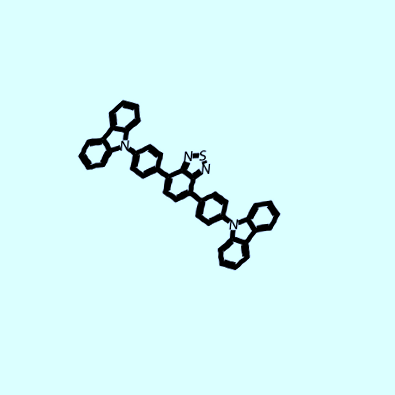 c1ccc2c(c1)c1ccccc1n2-c1ccc(-c2ccc(-c3ccc(-n4c5ccccc5c5ccccc54)cc3)c3nsnc23)cc1